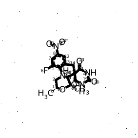 C[C@@H]1CN2c3c(F)cc([N+](=O)[O-])cc3CC3(C(=O)NC(=O)NC3=O)[C@H]2[C@H](C)O1